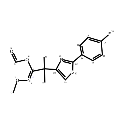 CO/N=C(\OC=O)C(C)(C)c1csc(-c2ccc(F)cc2)n1